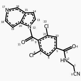 N#CCNC(=O)c1cc(Cl)c(C(=O)n2ccc3cnccc32)c(Cl)c1